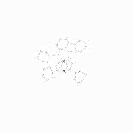 c1ccc(-c2cc(-c3ccccc3)cc(-n3c4ccccc4c4ccc5c(c43)N(c3ccccc3)c3ccccc3O5)c2)cc1